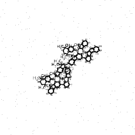 Cc1cc2c(cc1N1c3oc4ccccc4c3B3c4c(cc5c(oc6cc(C7CC(C)(C)c8cc9oc%10c(c9cc8C7(C)C)B7c8c(cc9c(oc%11ccccc%119)c8N%10c8cc9c(cc8C)C(C)(C)CCC9(C)C)-c8cccc9c%10sc%11ccccc%11c%10n7c89)ccc65)c41)-c1cccc4c5c6ccccc6sc5n3c14)C(C)(C)CCC2(C)C